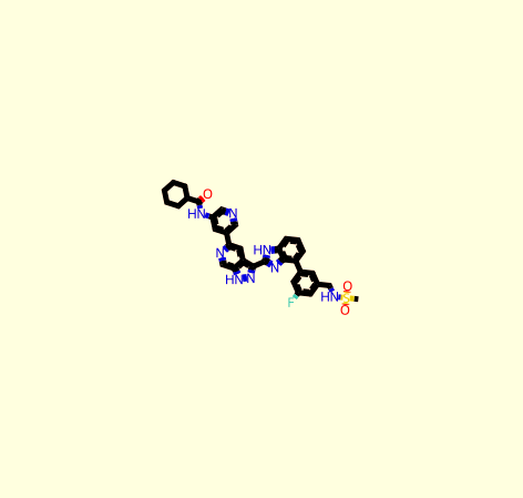 CS(=O)(=O)NCc1cc(F)cc(-c2cccc3[nH]c(-c4n[nH]c5cnc(-c6cncc(NC(=O)C7CCCCC7)c6)cc45)nc23)c1